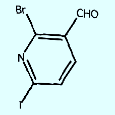 O=Cc1ccc(I)nc1Br